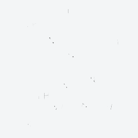 CCN(CC)CN(CC(C)C)c1nc(Cl)nc(NC(C)C)n1